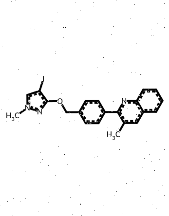 Cc1cc2ccccc2nc1-c1ccc(COc2nn(C)cc2I)cc1